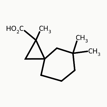 CC1(C)CCCC2(C1)CC2(C)C(=O)O